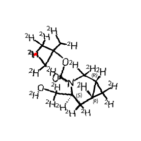 [2H]OC([2H])([2H])[C@@]1([2H])N(C(=O)OC(C([2H])[2H])(C([2H])([2H])[2H])C([2H])([2H])[2H])C([2H])([2H])[C@]2([2H])C([2H])([2H])[C@]2([2H])C1([2H])[2H]